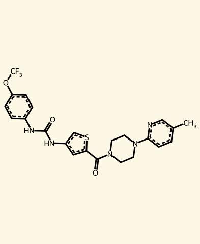 Cc1ccc(N2CCN(C(=O)c3cc(NC(=O)Nc4ccc(OC(F)(F)F)cc4)cs3)CC2)nc1